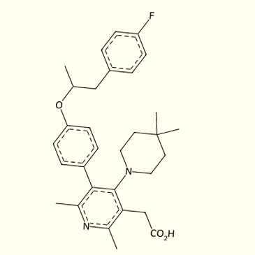 Cc1nc(C)c(-c2ccc(OC(C)Cc3ccc(F)cc3)cc2)c(N2CCC(C)(C)CC2)c1CC(=O)O